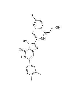 Cc1ccc(-c2cn3nc(C(=O)N[C@H](CCO)c4ccc(F)cc4)c(C(C)C)c3c(=O)[nH]2)cc1C